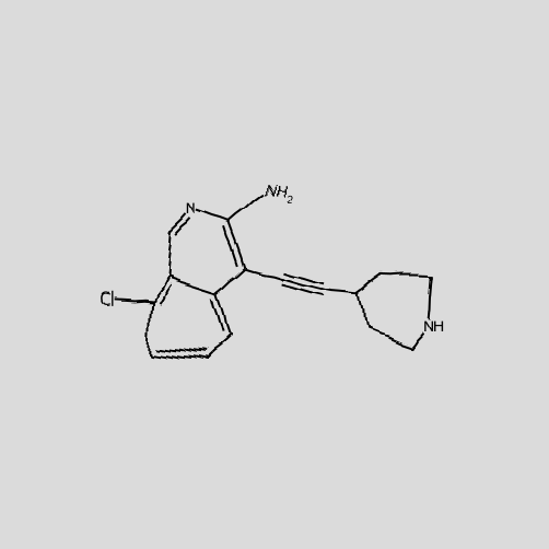 Nc1ncc2c(Cl)cccc2c1C#CC1CCNCC1